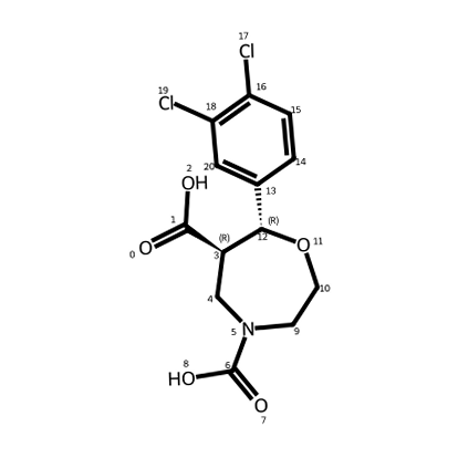 O=C(O)[C@@H]1CN(C(=O)O)CCO[C@H]1c1ccc(Cl)c(Cl)c1